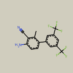 Cc1c(-c2cc(C(F)(F)F)cc(C(F)(F)F)c2)ccc(N)c1C#N